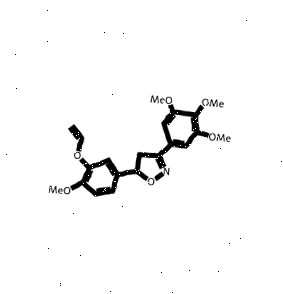 C=COc1cc(C2CC(c3cc(OC)c(OC)c(OC)c3)=NO2)ccc1OC